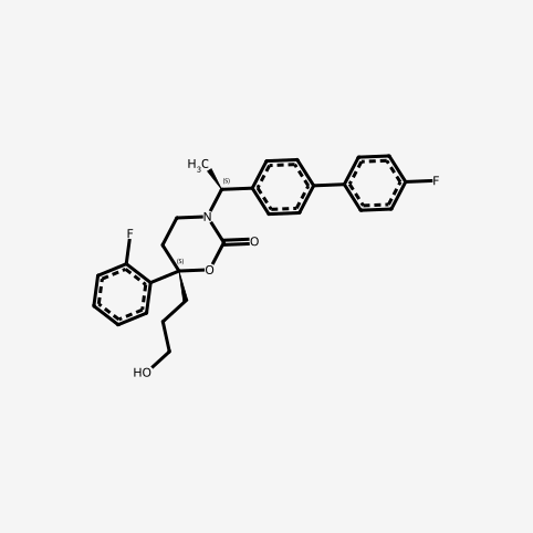 C[C@@H](c1ccc(-c2ccc(F)cc2)cc1)N1CC[C@@](CCCO)(c2ccccc2F)OC1=O